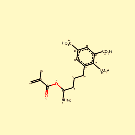 C=C(C)C(=O)OC(CCCCCC)CCCc1cc(C(=O)O)cc(C(=O)O)c1C(=O)O